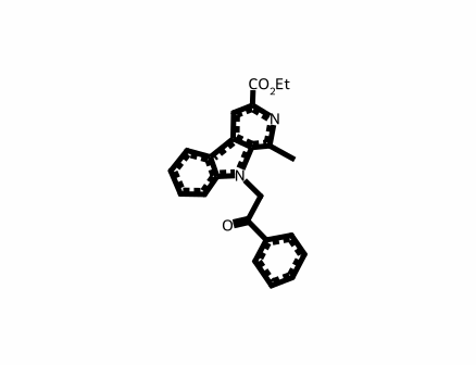 CCOC(=O)c1cc2c3ccccc3n(CC(=O)c3ccccc3)c2c(C)n1